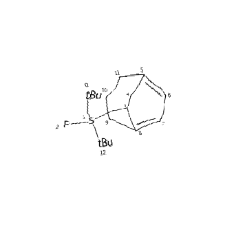 CC(C)(C)S(F)(C1CC2=CC=C1CCC2)C(C)(C)C